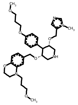 COCCCOc1ccc(C2[C@@H](OCc3ccc4c(c3)N(CCCOC)CCO4)CNC[C@H]2OCc2cncn2C)cc1